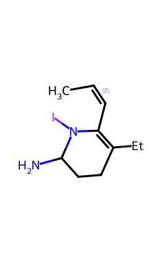 C/C=C\C1=C(CC)CCC(N)N1I